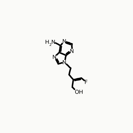 Nc1ncnc2c1ncn2CCC(=CF)CO